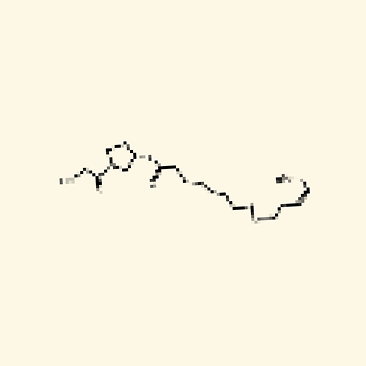 CCCCC/C=C\C/C=C\CCCCCCCC(=O)O[C@H]1CCN(C(=O)CN)C1